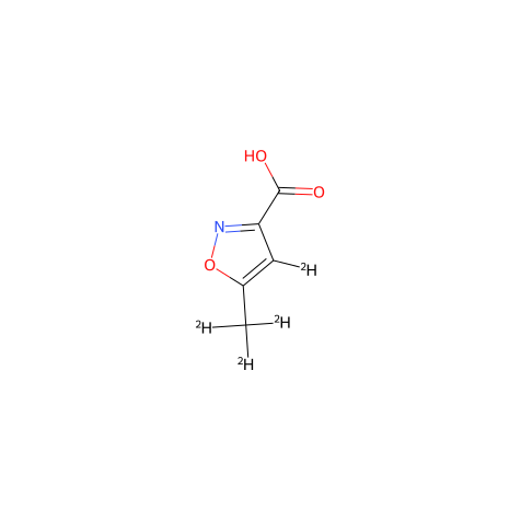 [2H]c1c(C(=O)O)noc1C([2H])([2H])[2H]